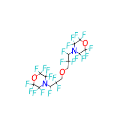 FC(N1C(F)(F)C(F)(F)OC(F)(F)C1(F)F)C(F)(F)COCC(F)(F)C(F)N1C(F)(F)C(F)(F)OC(F)(F)C1(F)F